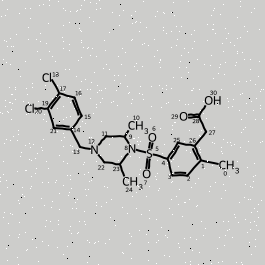 Cc1ccc(S(=O)(=O)N2C(C)CN(Cc3ccc(Cl)c(Cl)c3)CC2C)cc1CC(=O)O